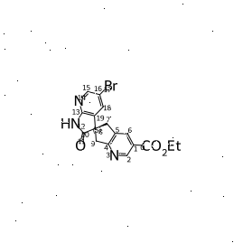 CCOC(=O)c1cnc2c(c1)C[C@@]1(C2)C(=O)Nc2ncc(Br)cc21